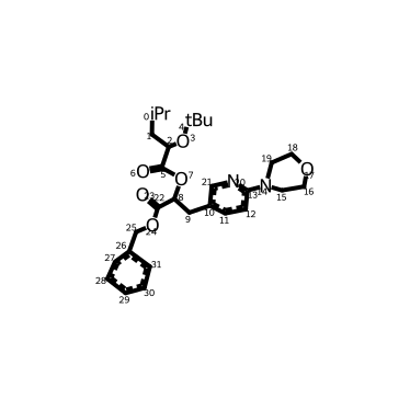 CC(C)CC(OC(C)(C)C)C(=O)OC(Cc1ccc(N2CCOCC2)nc1)C(=O)OCc1ccccc1